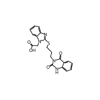 O=C(O)Cn1c(SCCCn2c(=O)[nH]c3ccccc3c2=O)nc2ccccc21